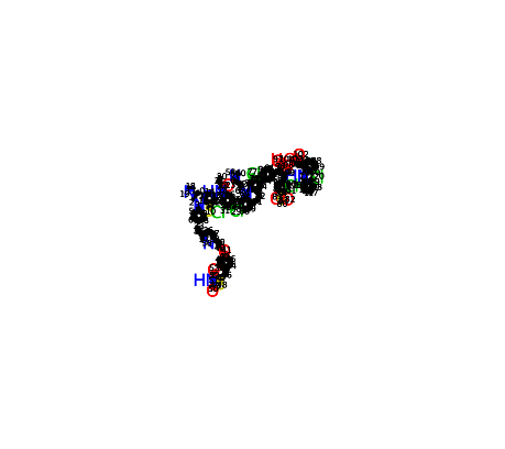 CC(CN1c2ccccc2Sc2ccccc21)N(C)C.CCC(=O)Nc1ccc(Cl)c(Cl)c1.CCc1ccc(CCOc2ccc(CC3SC(=O)NC3=O)cc2)nc1.CN(C)CCCN1c2ccccc2CCc2ccc(Cl)cc21.CS(=O)(=O)c1ccc(C2=C(c3ccccc3)C(=O)OC2)cc1.O=C(O)Cc1ccccc1Nc1c(Cl)cccc1Cl